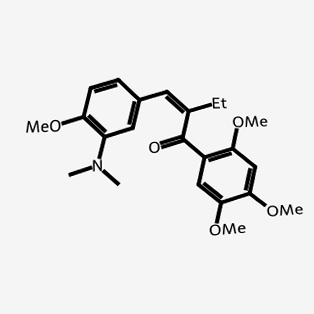 CCC(=Cc1ccc(OC)c(N(C)C)c1)C(=O)c1cc(OC)c(OC)cc1OC